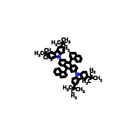 CC(C)(C)c1ccc2c(c1)c1cc(C(C)(C)C)ccc1n2-c1ccc2c(-c3cccc4ccccc34)c3cc(-n4c5ccc(C(C)(C)C)cc5c5cc(C(C)(C)C)ccc54)ccc3c(-c3cccc4ccccc34)c2c1